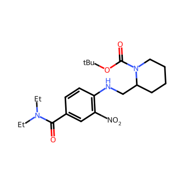 CCN(CC)C(=O)c1ccc(NCC2CCCCN2C(=O)OC(C)(C)C)c([N+](=O)[O-])c1